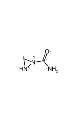 NC(=O)N1CN1